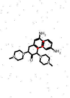 CN1CCN(C(Cc2cccc(N)c2)C(=O)C(Cc2cccc(N)c2)N2CCN(C)CC2)CC1